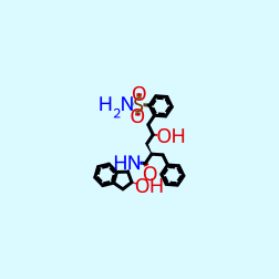 NS(=O)(=O)c1ccccc1C[C@@H](O)C[C@@H](Cc1ccccc1)C(=O)N[C@H]1c2ccccc2C[C@H]1O